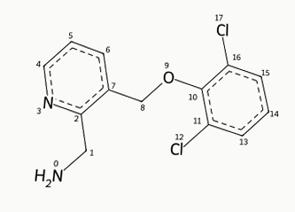 NCc1ncccc1COc1c(Cl)cccc1Cl